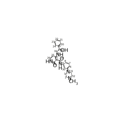 CN1CCN(c2cccc(NC(=O)c3c(NCC(O)c4ccccc4)cc[nH]c3=O)c2)CC1